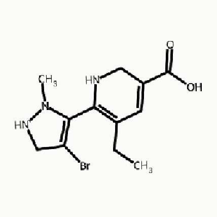 CCC1=C(C2=C(Br)CNN2C)NCC(C(=O)O)=C1